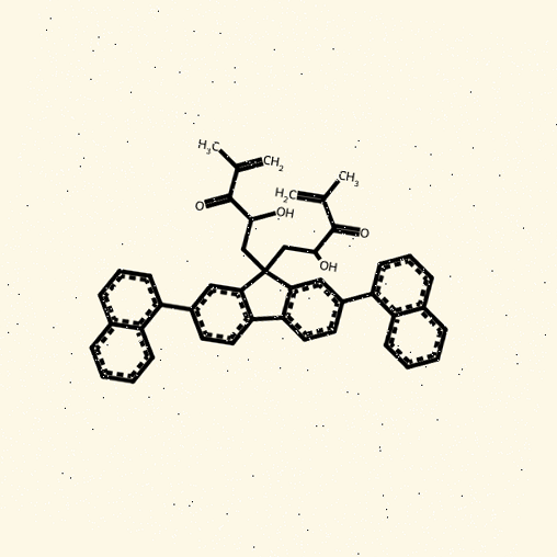 C=C(C)C(=O)C(O)CC1(CC(O)C(=O)C(=C)C)c2cc(-c3cccc4ccccc34)ccc2-c2ccc(-c3cccc4ccccc34)cc21